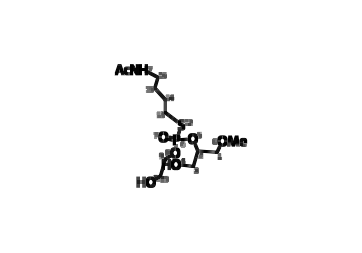 COCC(CO)OP(=O)(OCCO)SCCCCNC(C)=O